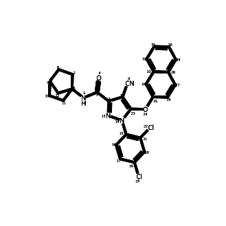 N#Cc1c(C(=O)NC23CCC(CC2)C3)nn(-c2ccc(Cl)cc2Cl)c1Oc1ccc2ccccc2c1